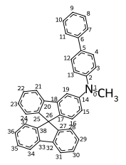 CN(c1ccc(-c2ccccc2)cc1)c1ccc2c(c1)-c1ccccc1C21c2ccccc2-c2ccccc21